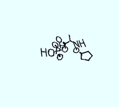 CC(NOC1CCCC1)C(=O)OP(=O)(O)O